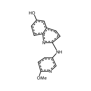 COc1ccc(Nc2ccc3cc(O)ccc3n2)cn1